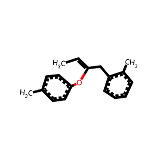 C/C=C(/Cc1ccccc1C)Oc1ccc(C)cc1